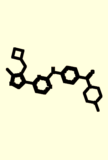 Cc1ncc(-c2ccnc(Nc3ccc(C(=O)N4CCN(C)CC4)cc3)n2)n1CC1CCC1